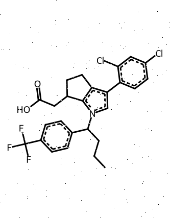 CCCC(c1ccc(C(F)(F)F)cc1)n1cc(-c2ccc(Cl)cc2Cl)c2c1C(CC(=O)O)CC2